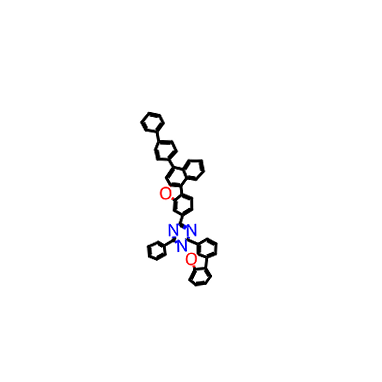 c1ccc(-c2ccc(-c3cc4oc5cc(-c6nc(-c7ccccc7)nc(-c7cccc8c7oc7ccccc78)n6)ccc5c4c4ccccc34)cc2)cc1